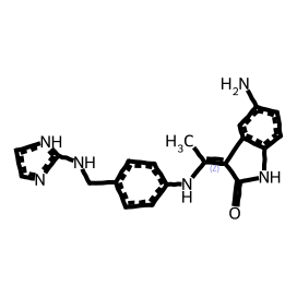 C/C(Nc1ccc(CNc2ncc[nH]2)cc1)=C1/C(=O)Nc2ccc(N)cc21